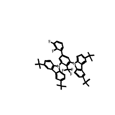 CC(C)(C)c1ccc2c(c1)c1cc(C(C)(C)C)ccc1n2-c1cc(-c2cccc(F)c2F)cc(-n2c3ccc(C(C)(C)C)cc3c3cc(C(C)(C)C)ccc32)c1C(F)(F)F